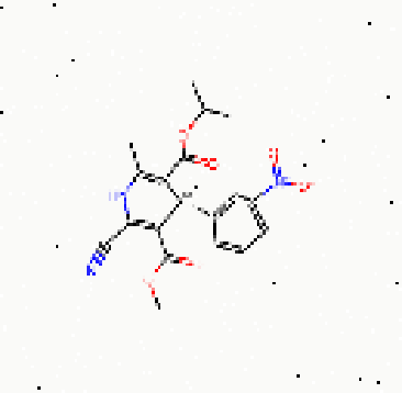 COC(=O)C1=C(C#N)NC(C)=C(C(=O)OC(C)C)[C@@H]1c1cccc([N+](=O)[O-])c1